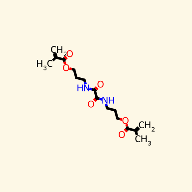 C=C(C)C(=O)OCCCNC(=O)C(=O)NCCCOC(=O)C(=C)C